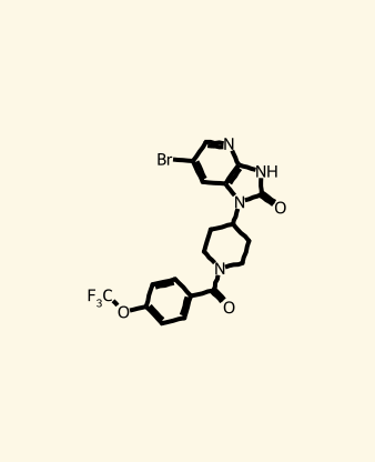 O=C(c1ccc(OC(F)(F)F)cc1)N1CCC(n2c(=O)[nH]c3ncc(Br)cc32)CC1